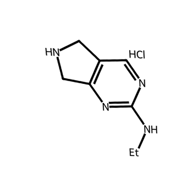 CCNc1ncc2c(n1)CNC2.Cl